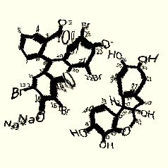 O=C([O-])c1ccccc1-c1c2cc(Br)c(=O)c(Br)c-2oc2c(Br)c([O-])c(Br)cc12.Oc1cc2c(cc1O)[C@H]1c3ccc(O)c(O)c3OC[C@@]1(O)C2.[Na+].[Na+]